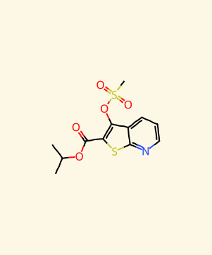 CC(C)OC(=O)c1sc2ncccc2c1OS(C)(=O)=O